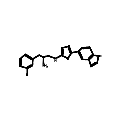 Cc1cccc(C[C@H](N)CNc2nnc(-c3ccc4[nH]ncc4c3)s2)c1